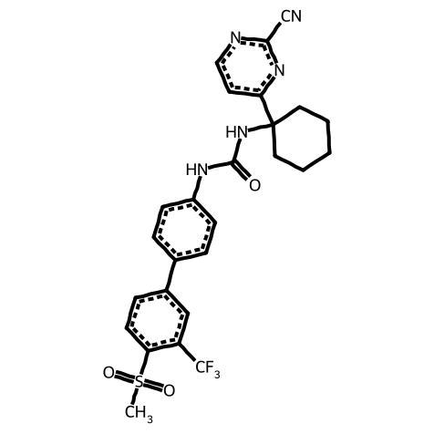 CS(=O)(=O)c1ccc(-c2ccc(NC(=O)NC3(c4ccnc(C#N)n4)CCCCC3)cc2)cc1C(F)(F)F